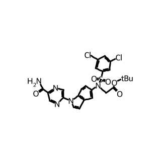 CC(C)(C)OC(=O)CN(c1ccc2c(ccn2-c2cnc(C(N)=O)cn2)c1)S(=O)(=O)c1cc(Cl)cc(Cl)c1